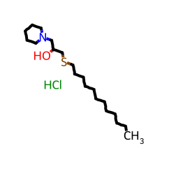 CCCCCCCCCCCCSCC(O)CN1CCCCC1.Cl